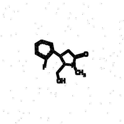 CN1C(=O)CC(c2ccccc2F)C1CO